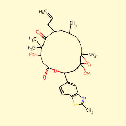 C=CCC1CC(C)CCCC2(C)OC2(O)CC(c2ccc3sc(C)nc3c2)OC(=O)CC(O)C(C)(C)C1=O